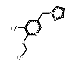 Cc1cc(Cn2cccn2)cnc1OCC(F)(F)F